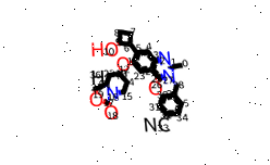 Cc1nc2cc(C3CCC3O)c(O[C@H]3CCN4C(=O)OC[C@@H]4C3)cc2c(=O)n1Cc1ccc(C#N)cc1